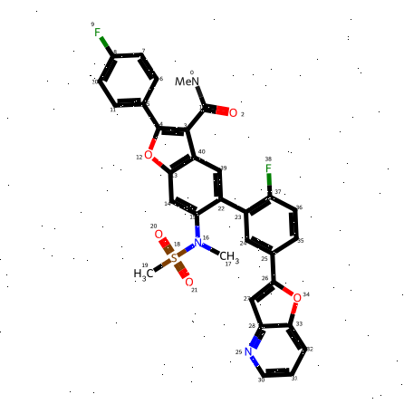 CNC(=O)c1c(-c2ccc(F)cc2)oc2cc(N(C)S(C)(=O)=O)c(-c3cc(-c4cc5ncccc5o4)ccc3F)cc12